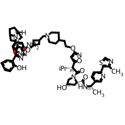 Cc1ncsc1-c1ccc([C@H](C)NC(=O)[C@@H]2C[C@@H](O)CN2C(=O)[C@@H](c2cc(OCCC3CCN(CC4CC(Oc5cc(N6C7CC[C@@H]6CN(c6cc(-c8ccccc8O)nnc6N)C7)ccn5)C4)CC3)no2)C(C)C)cn1